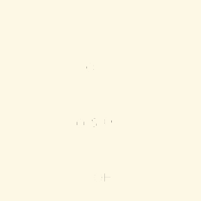 Cc1cccc(C)c1COc1ccc(S(=O)(=O)c2ccc(O)cc2)cc1